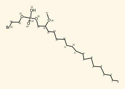 CCCCCCCCCCCCCCCCC(COP(=O)(O)OCCBr)OC